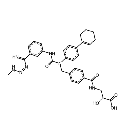 CN/N=N\C(=N)c1cccc(NC(=O)N(Cc2ccc(C(=O)NC[C@@H](O)C(=O)O)cc2)c2ccc(C3=CCCCC3)cc2)c1